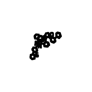 c1ccc(-c2nc(-c3ccc4c(c3)sc3ccccc34)nc(-c3ccccc3-n3c4ccccc4c4ccc5oc6c(-c7ccccc7)cccc6c5c43)n2)cc1